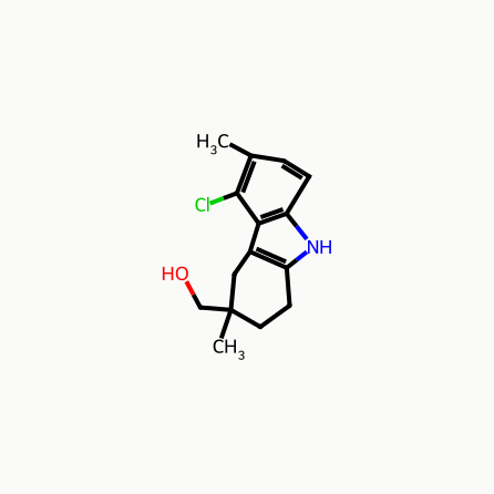 Cc1ccc2[nH]c3c(c2c1Cl)CC(C)(CO)CC3